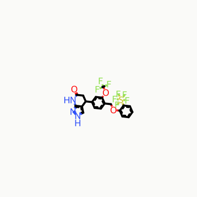 O=C1CC(c2ccc(COc3ccccc3S(F)(F)(F)(F)F)c(OC(F)(F)F)c2)c2c[nH]nc2N1